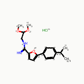 COC(CNC(=N)c1ccc(-c2ccc(C(C)C)cc2)o1)OC.Cl